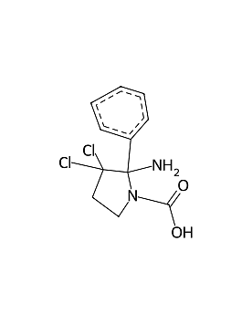 NC1(c2ccccc2)N(C(=O)O)CCC1(Cl)Cl